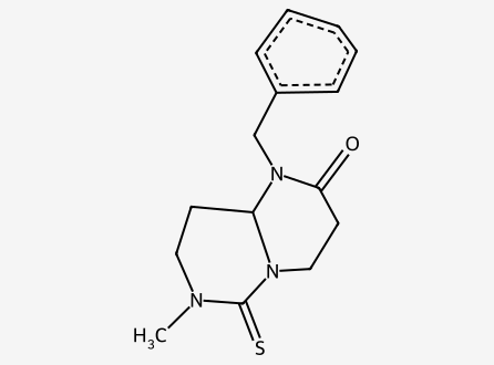 CN1CCC2N(Cc3ccccc3)C(=O)CCN2C1=S